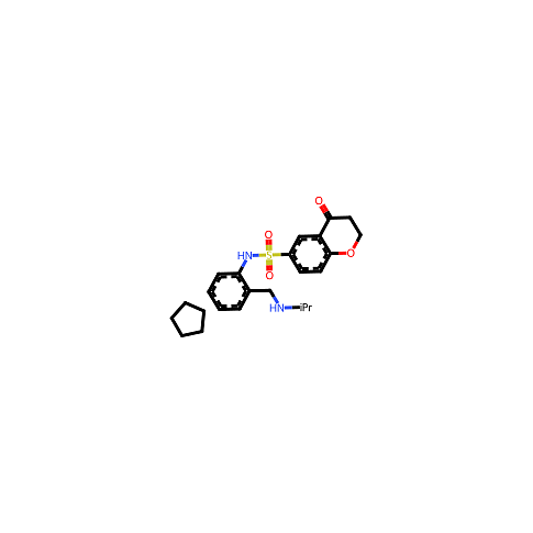 C1CCCC1.CC(C)NCc1ccccc1NS(=O)(=O)c1ccc2c(c1)C(=O)CCO2